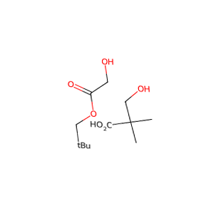 CC(C)(C)COC(=O)CO.CC(C)(CO)C(=O)O